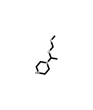 CSCOC(C)N1CCNCC1